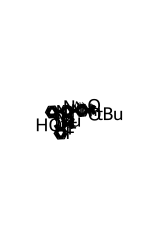 C[C@H]1CN(C(=O)OC(C)(C)C)CCN1C1=NCN(c2ccccc2C(C)(C)C)c2nc(-c3c(O)cccc3F)c(F)cc21